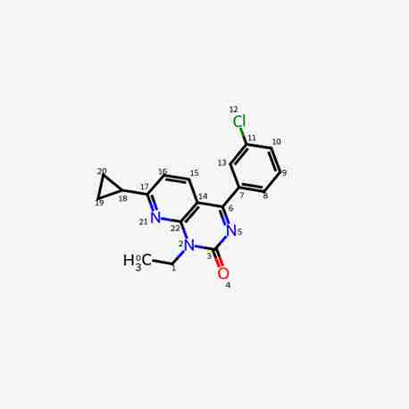 CCn1c(=O)nc(-c2cccc(Cl)c2)c2ccc(C3CC3)nc21